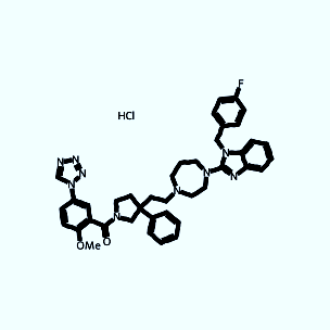 COc1ccc(-n2cnnn2)cc1C(=O)N1CCC(CCN2CCCN(c3nc4ccccc4n3Cc3ccc(F)cc3)CC2)(c2ccccc2)C1.Cl